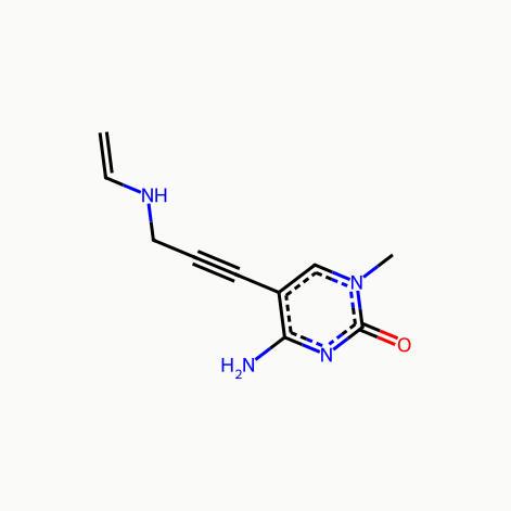 C=CNCC#Cc1cn(C)c(=O)nc1N